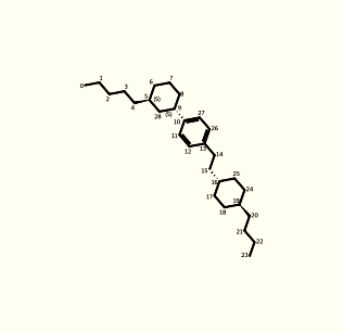 CCCCC[C@H]1CCC[C@H](c2ccc(CC[C@H]3CC[C@H](CCCC)CC3)cc2)C1